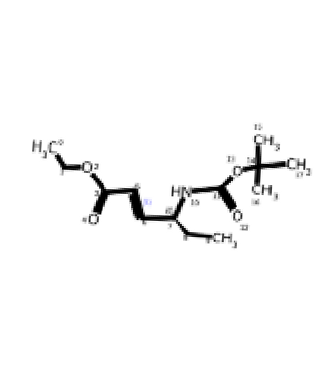 CCOC(=O)/C=C/[C@H](CC)NC(=O)OC(C)(C)C